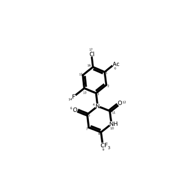 CC(=O)c1cc(-n2c(=O)cc(C(F)(F)F)[nH]c2=O)c(F)cc1Cl